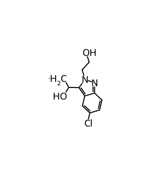 [CH2]C(O)c1c2cc(Cl)ccc2nn1CCO